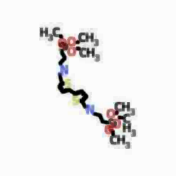 CCO[Si](CCC/N=C/c1ccc(-c2ccc(/C=N/CCC[Si](OCC)(OCC)OCC)s2)s1)(OCC)OCC